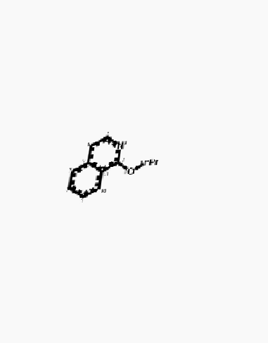 CCCOc1nccc2ccccc12